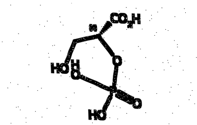 O=C(O)[C@@H](CO)OP(=O)(O)O